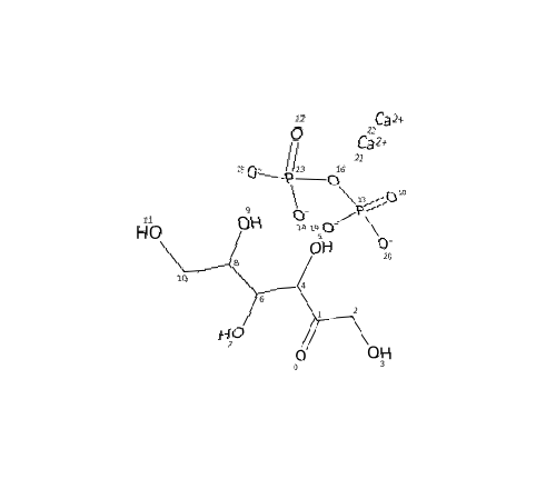 O=C(CO)C(O)C(O)C(O)CO.O=P([O-])([O-])OP(=O)([O-])[O-].[Ca+2].[Ca+2]